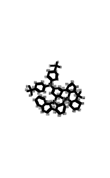 CC(C)(C)c1ccc(N(c2ccc(C(C)(C)C)cc2)c2cc3c4c(c2)-n2c5c(cccc5c5ccc6ccccc6c52)B4N2c4ccccc4C(C)(C)c4cccc-3c42)cc1